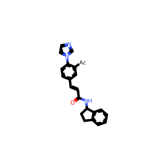 CC(=O)c1cc(C=CC(=O)NC2CCc3ccccc32)ccc1-n1ccnc1